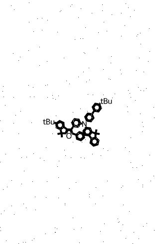 CC(C)(C)c1ccc(-c2ccc(N(c3cccc(-c4c(-c5ccccc5)oc5c4-c4ccc(C(C)(C)C)cc4C5(C)C)c3)c3ccc4c(c3)C(C)(C)c3ccccc3-4)cc2)cc1